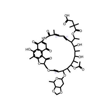 CC(=O)OC1C(C)C(OC2CC3OCOC3C(C)O2)/C=C/OC2(C)Oc3c(C)c(O)c4c(c3C2=O)C(=O)C=C(NC(=O)/C(C)=C/C=C/C(C(C)OC(=O)C(C)(C)CC(=O)O)C(O)C(C)C(O)C1C)C4=O